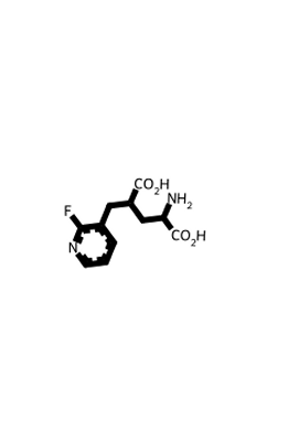 NC(CC(Cc1cccnc1F)C(=O)O)C(=O)O